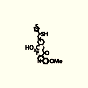 COc1ccc2ncc(F)c(C(=O)CC[C@H]3CCN(CC(S)c4ccsc4)C[C@H]3C(=O)O)c2c1